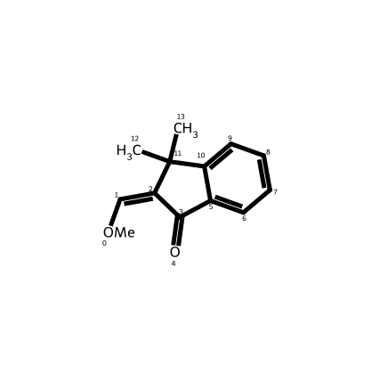 CO/C=C1\C(=O)c2ccccc2C1(C)C